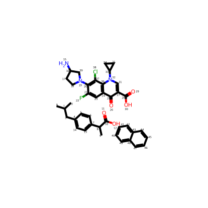 CC(C)Cc1ccc(C(C)C(=O)O)cc1.NC1CCN(c2c(F)cc3c(=O)c(C(=O)O)cn(C4CC4)c3c2Cl)C1.c1ccc2ccccc2c1